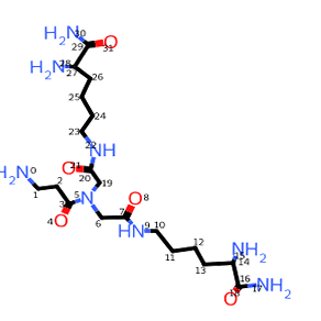 NCCC(=O)N(CC(=O)NCCCCC(N)C(N)=O)CC(=O)NCCCCC(N)C(N)=O